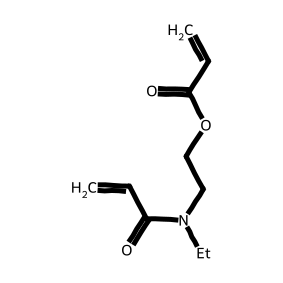 C=CC(=O)OCCN(CC)C(=O)C=C